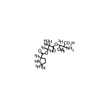 [2H]C1([2H])CC[C@@]([2H])(C(=O)OC([2H])([2H])[C@]([2H])(N)C(=O)O[C@]([2H])(C)[C@]([2H])(N)C(=O)O)N1